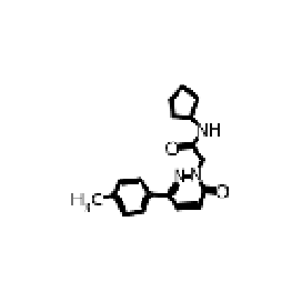 Cc1ccc(-c2ccc(=O)n(CC(=O)NC3CCCC3)n2)cc1